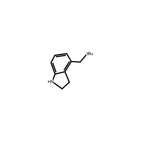 CC(C)(C)Cc1cccc2c1CCN2